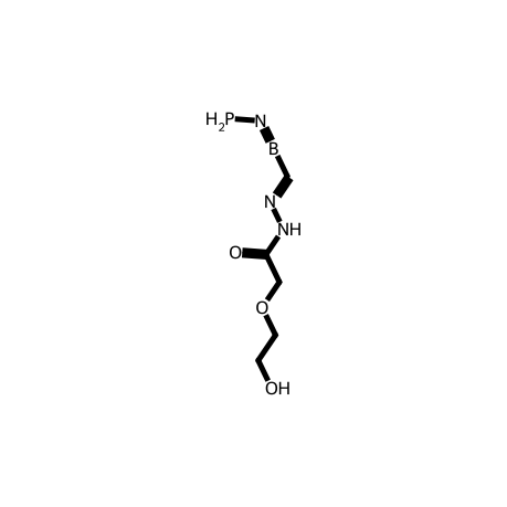 O=C(COCCO)NN=C/B=N/P